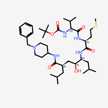 CSCC[C@H](NC(=O)[C@@H](NC(=O)OC(C)(C)C)C(C)C)C(=O)N[C@@H](CC(C)C)[C@@H](O)C[C@@H](CC(C)C)C(=O)NC1CCN(Cc2ccccc2)CC1